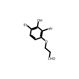 CCCc1c(OCCC=O)ccc(CC)c1O